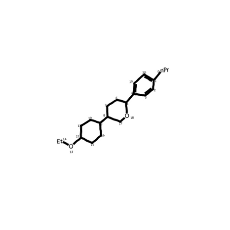 CCCc1ccc(C2CCC(C3CCC(OCC)CC3)CO2)cc1